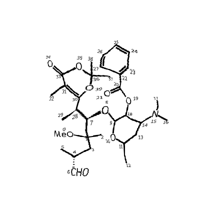 COC(C)(C[C@@H](C)C=O)[C@H](OC1OC(C)CC(N(C)C)C1OC(=O)c1ccccc1)[C@@H](C)C1=C(C)C(=O)OC(C)(C)O1